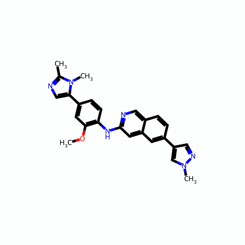 COc1cc(-c2cnc(C)n2C)ccc1Nc1cc2cc(-c3cnn(C)c3)ccc2cn1